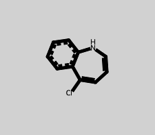 ClC1=CC=CNc2ccccc21